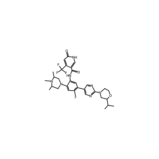 CC(C)C1CN(c2ncc(-c3cc(NC(=O)c4c[nH]c(=O)cc4C(F)(F)F)c(N4CC(C)N(C)C(C)C4)cc3F)cn2)CCO1